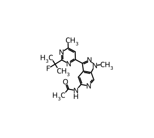 CC(=O)Nc1cc2c(-c3cc(C)nc(C(C)(C)F)n3)nn(C)c2cn1